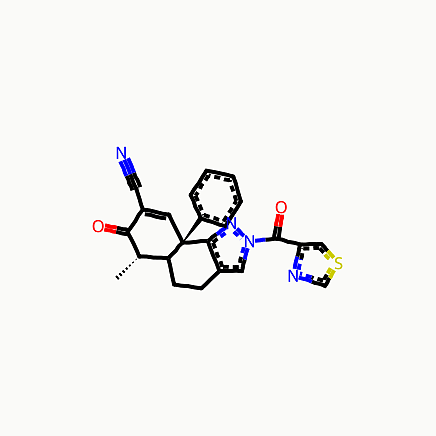 C[C@@H]1C(=O)C(C#N)=C[C@]2(c3ccccc3)c3nn(C(=O)c4cscn4)cc3CCC12